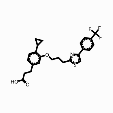 O=C(O)CCc1ccc(C2CC2)c(OCCCc2nc(-c3ccc(C(F)(F)F)cc3)cs2)c1